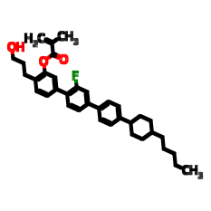 C=C(C)C(=O)Oc1cc(-c2ccc(-c3ccc(C4CCC(CCCCC)CC4)cc3)cc2F)ccc1CCCO